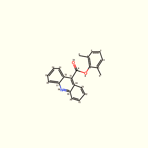 Cc1cccc(C)c1OC(=O)c1c2ccccc2nc2ccccc12